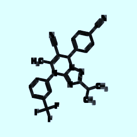 CC1=C(C#N)C(c2ccc(C#N)cc2)n2nc(C(C)C)nc2N1c1cccc(C(F)(F)F)c1